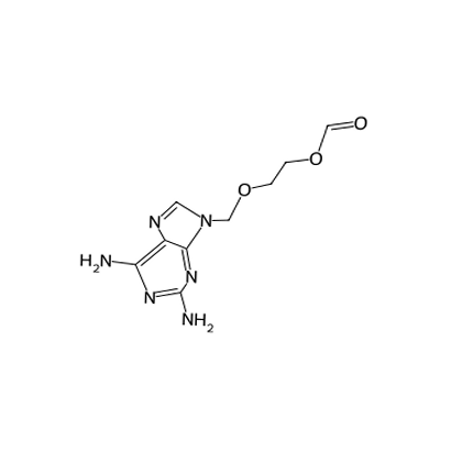 Nc1nc(N)c2ncn(COCCOC=O)c2n1